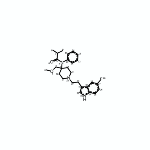 COCC1(N(C(=O)C(C)C)c2ccccc2)CCN(CCc2c[nH]c3ccc(F)cc23)CC1